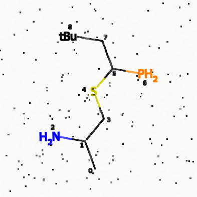 CC(N)CSC(P)CC(C)(C)C